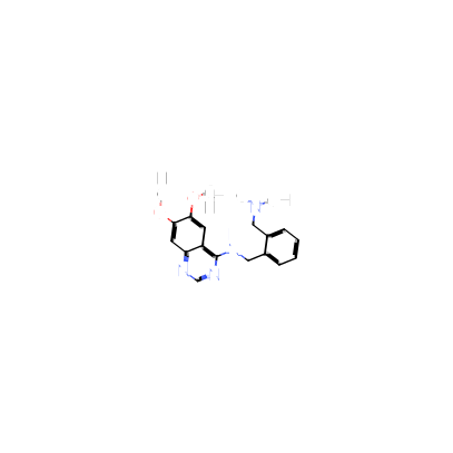 COc1cc2ncnc(NCc3ccccc3CN(C)C)c2cc1OC